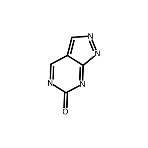 O=C1N=CC2=CN=NC2=N1